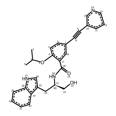 CC(C)Oc1ccc(C#Cc2cccnc2)cc1C(=O)N[C@@H](CO)Cc1c[nH]c2ccccc12